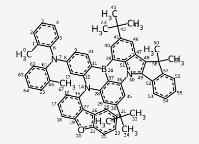 Cc1ccccc1N(c1ccc2c(c1)N(c1cccc3oc4ccccc4c13)c1cc(C(C)(C)C)cc3c1B2c1cc(C(C)(C)C)cc2c4c(n-3c12)-c1ccccc1C4(C)C)c1ccccc1C